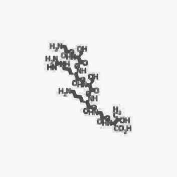 C[C@@H](O)[C@H](NOC(=O)CNOC(=O)[C@H](CCCCN)NOC(=O)[C@H](CO)NOC(=O)[C@H](CCCNC(=N)N)NOC(=O)[C@H](CO)NOC(=O)CN)C(=O)O